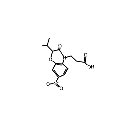 CC(C)C1Oc2cc([N+](=O)[O-])ccc2N(CCC(=O)O)C1=O